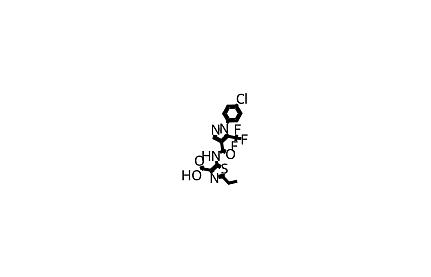 CCc1nc(C(=O)O)c(NC(=O)c2cnn(-c3ccc(Cl)cc3)c2C(F)(F)F)s1